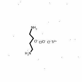 NCCCCN.[Cl-].[Cl-].[Cl-].[Cl-].[Ti+4]